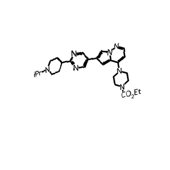 CCOC(=O)N1CCN(c2ccnn3cc(-c4cnc(C5CCN(C(C)C)CC5)nc4)cc23)CC1